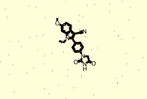 CCn1c(-c2ccc(N3CC(=O)NC3=O)cc2)c(C#N)c2ccc(OC)cc21